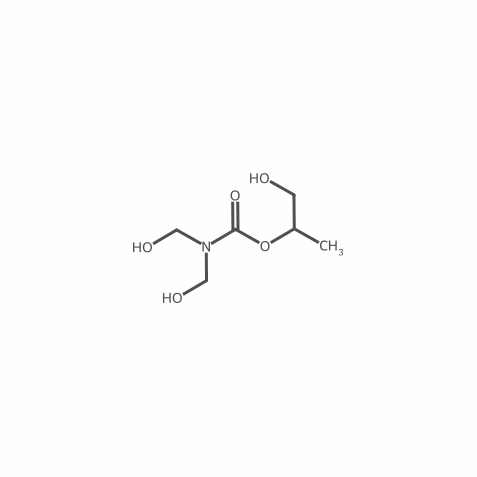 CC(CO)OC(=O)N(CO)CO